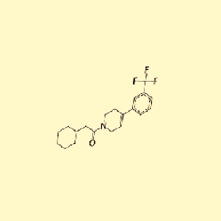 O=C(CC1CCCCC1)N1CC=C(c2cccc(C(F)(F)F)c2)CC1